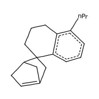 CCCc1cccc2c1CCCC21CC2=CCC1C2